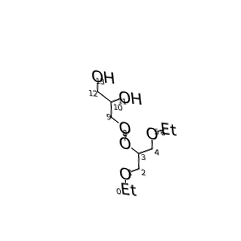 CCOCC(COCC)OOCC(O)CO